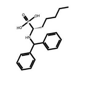 CCCCC[C@H](NC(c1ccccc1)c1ccccc1)P(=O)(O)O